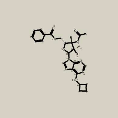 CC(=O)O[C@@]1(C)[C@@H](COC(=O)c2ccccc2)OC(n2cnc3c(NC4CCC4)ncnc32)[C@]1(C)F